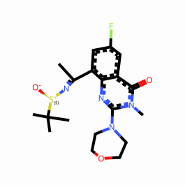 CC(=N[S@+]([O-])C(C)(C)C)c1cc(F)cc2c(=O)n(C)c(N3CCOCC3)nc12